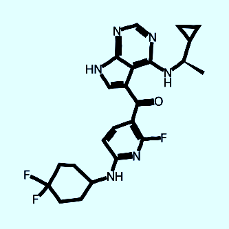 C[C@@H](Nc1ncnc2[nH]cc(C(=O)c3ccc(NC4CCC(F)(F)CC4)nc3F)c12)C1CC1